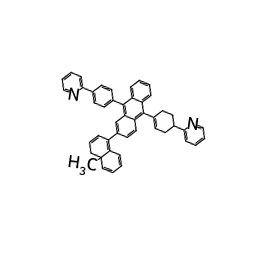 CC12C=CC=CC1=C(c1ccc3c(C4=CCC(c5ccccn5)CC4)c4ccccc4c(-c4ccc(-c5ccccn5)cc4)c3c1)C=CC2